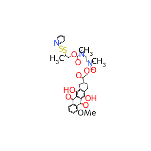 COc1cccc2c1C(=O)c1c(O)c3c(c(O)c1C2=O)C[C@@H](C(=O)COC(=O)N(C)CCN(C)C(=O)OCC(C)SSc1ccccn1)CC3